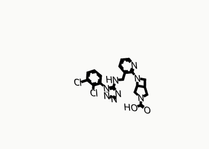 O=C(O)N1CC2CN(c3ncccc3CNc3nnnn3-c3cccc(Cl)c3Cl)C2C1